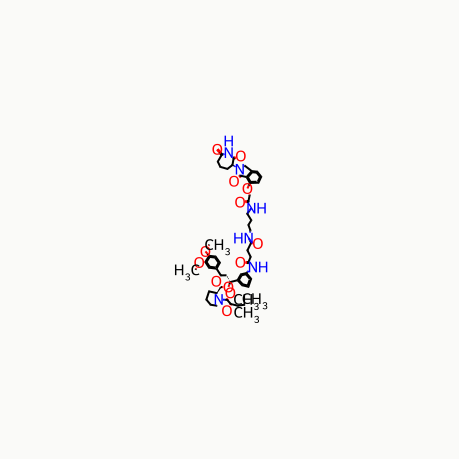 CCC(C)(C)C(=O)C(=O)N1CCCC[C@H]1C(=O)O[C@H](CCc1ccc(OC)c(OC)c1)c1cccc(NC(=O)CCC(=O)NCCCCNC(=O)COc2cccc3c2C(=O)N([C@H]2CCCC(=O)NC2=O)C3)c1